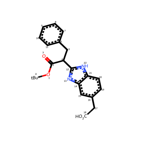 CC(C)(C)OC(=O)C(Cc1ccccc1)c1nc2cc(CC(=O)O)ccc2[nH]1